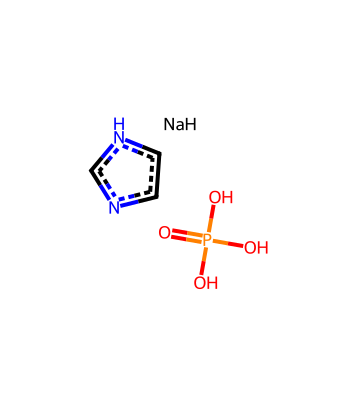 O=P(O)(O)O.[NaH].c1c[nH]cn1